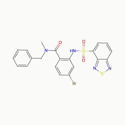 CN(Cc1ccccc1)C(=O)c1ccc(Br)cc1NS(=O)(=O)c1cccc2nsnc12